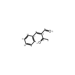 CC(=O)C(C=O)=Cc1ccccc1